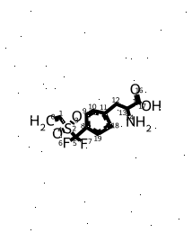 C=CS(=O)(=O)C(F)(F)c1ccc(CC(N)C(=O)O)cc1